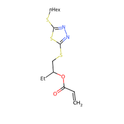 C=CC(=O)OC(CC)CSc1nnc(SCCCCCC)s1